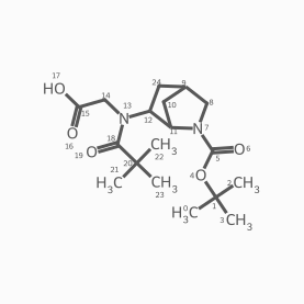 CC(C)(C)OC(=O)N1CC2CC1C(N(CC(=O)O)C(=O)C(C)(C)C)C2